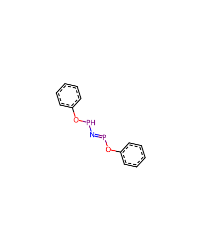 c1ccc(OP=NPOc2ccccc2)cc1